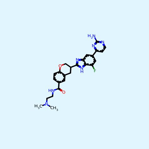 CN(C)CCNC(=O)c1ccc2c(c1)CC(c1nc3cc(-c4ccnc(N)n4)cc(F)c3[nH]1)CO2